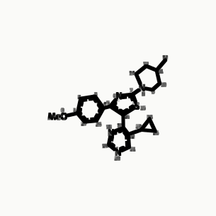 COc1ccc(-c2nc(N3CCC(C)CC3)sc2-c2n[c]ncc2C2CC2)cc1